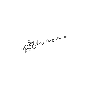 Cn1c(=O)n(C2CCC(=O)NC2=O)c2cccc(NCCOCCOCCOCCOCC=O)c21